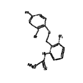 CCc1ccc(OCc2c(NC(=S)OC)cccc2C(F)(F)F)c(Br)c1